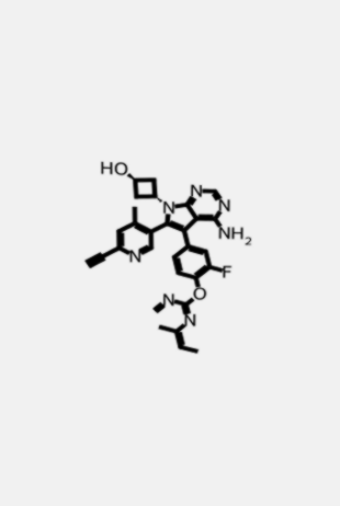 C#Cc1cc(C)c(-c2c(-c3ccc(O/C(N=C)=N/C(C)=C\C)c(F)c3)c3c(N)ncnc3n2[C@H]2C[C@H](O)C2)cn1